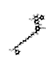 CCC1C(=O)N(C)c2cnc(Nc3ccc(C(=O)NCCOCCOCCOCCOCCN(C)c4ncccn4)cc3OC)nc2N1C1CCCC1